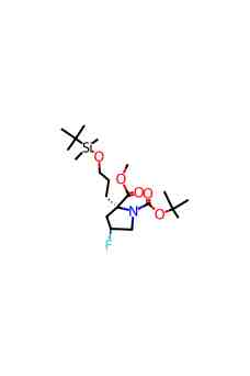 COC(=O)[C@]1(CCCO[Si](C)(C)C(C)(C)C)C[C@H](F)CN1C(=O)OC(C)(C)C